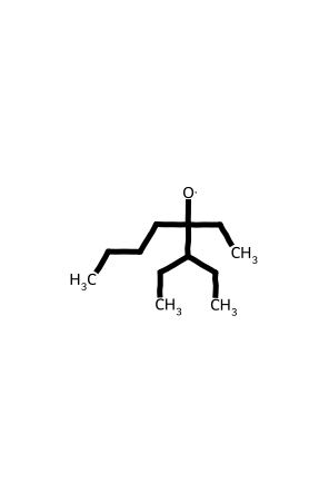 CCCCC([O])(CC)C(CC)CC